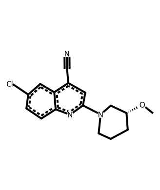 CO[C@@H]1CCCN(c2cc(C#N)c3cc(Cl)ccc3n2)C1